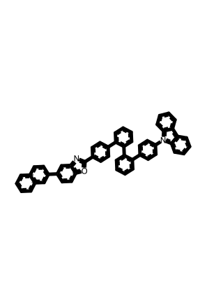 c1ccc(-c2ccccc2-c2ccc(-n3c4ccccc4c4ccccc43)cc2)c(-c2ccc(-c3nc4cc(-c5ccc6ccccc6c5)ccc4o3)cc2)c1